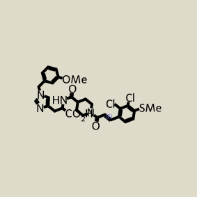 COc1cccc(Cn2cnc(CC(NC(=O)C3CCN(C(=O)/C=C/c4ccc(SC)c(Cl)c4Cl)CC3)C(=O)O)c2)c1